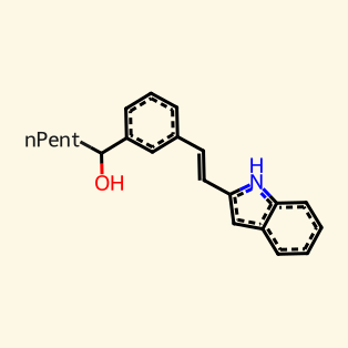 CCCCCC(O)c1cccc(C=Cc2cc3ccccc3[nH]2)c1